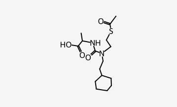 CC(=O)SCCN(CCC1CCCCC1)C(=O)NC(C)C(=O)O